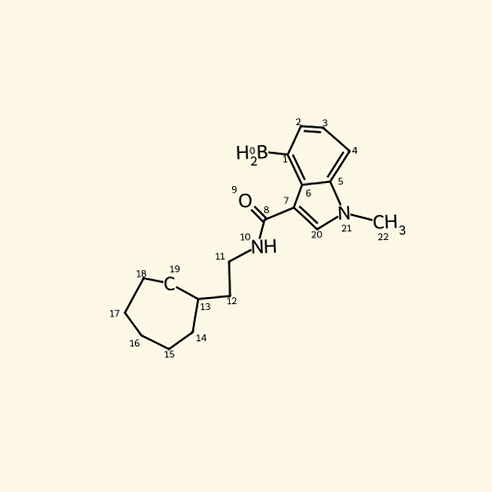 Bc1cccc2c1c(C(=O)NCCC1CCCCCC1)cn2C